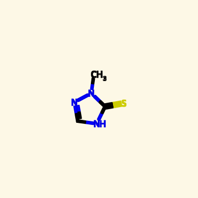 Cn1nc[nH]c1=S